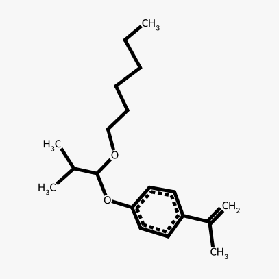 C=C(C)c1ccc(OC(OCCCCCC)C(C)C)cc1